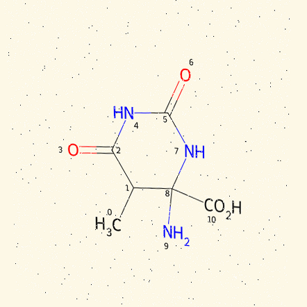 CC1C(=O)NC(=O)NC1(N)C(=O)O